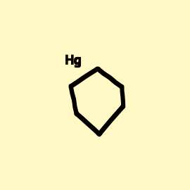 C1CCCCC1.[Hg]